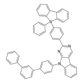 c1ccc(-c2cccc(-c3ccc(-n4c5ccccc5c5cnc(-c6ccc([Si]7(c8ccccc8)c8ccccc8-c8ccccc87)cc6)nc54)cc3)c2)cc1